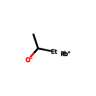 CCC(C)[O-].[Rb+]